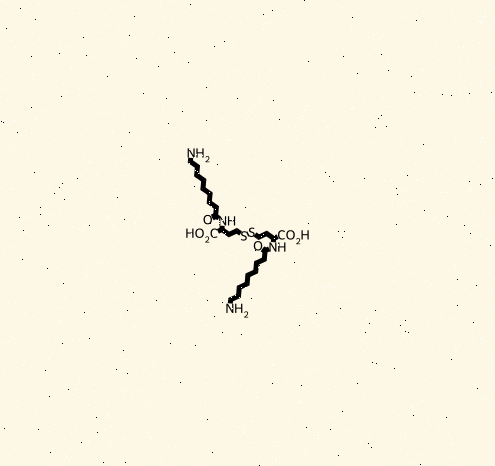 NCCCCCCCCC(=O)NC(CCSSCCC(NC(=O)CCCCCCCCN)C(=O)O)C(=O)O